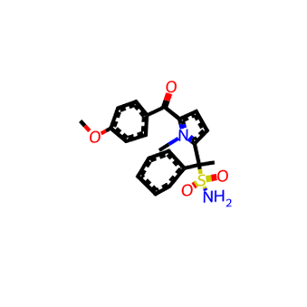 COc1ccc(C(=O)c2ccc(C(C)(c3ccccc3)S(N)(=O)=O)n2C)cc1